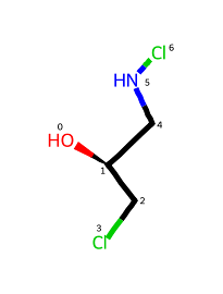 O[C@H](CCl)CNCl